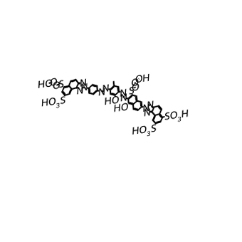 Cc1cc(N=Nc2c(SOOO)cc3cc(-n4nc5ccc6c(S(=O)(=O)O)cc(S(=O)(=O)O)cc6c5n4)ccc3c2O)c(O)cc1N=Nc1ccc(-n2nc3ccc4c(SOOO)cc(S(=O)(=O)O)cc4c3n2)cc1